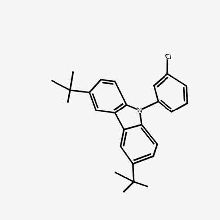 CC(C)(C)c1ccc2c(c1)c1cc(C(C)(C)C)ccc1n2-c1cccc(Cl)c1